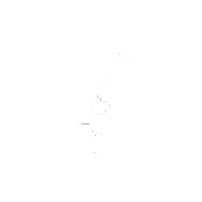 O=CCCCOn1cc(C(=O)N2CCCCC2)cn1